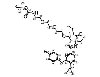 CCOC(=O)[C@@](CC)(CCOCCOCCOCCNC(=O)OC(C)(C)C)NC(=O)c1ccc(C2CC2)c(Cc2ccc(F)cc2)n1